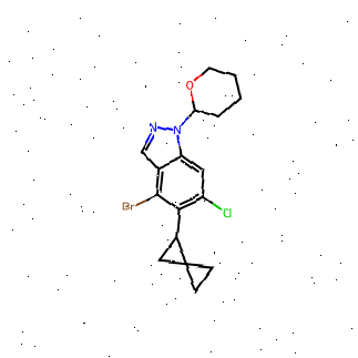 Clc1cc2c(cnn2C2CCCCO2)c(Br)c1C1CC12CC2